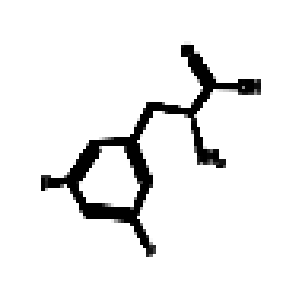 N[C@H](Cc1cc(F)cc(F)c1)C(=O)O